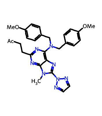 COc1ccc(CN(Cc2ccc(OC)cc2)c2nc(CCC(C)=O)nc3c2nc(-n2nccn2)n3C)cc1